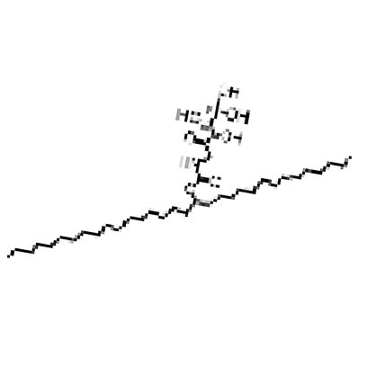 CCCCCCCCCCCCCCCCCC(CCCCCCCCCCCCCC)OC(=O)NCC(=O)[C@@H](O)[C@H](O)[C@H](O)CO